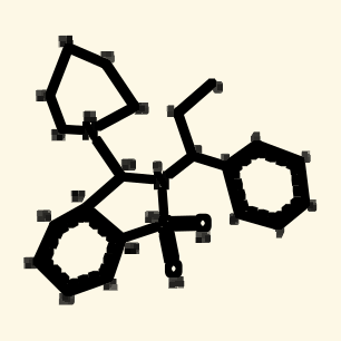 CCC(c1ccccc1)N1C(N2CCCCC2)c2ccccc2S1(=O)=O